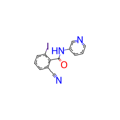 N#Cc1cccc(I)c1C(=O)Nc1cccnc1